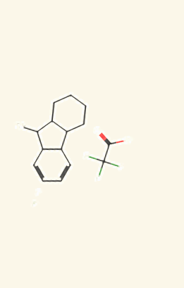 O=C([O-])C(F)(F)F.[F-].[F-].[Ti+3][CH]1C2C=CC=CC2C2CCCCC12